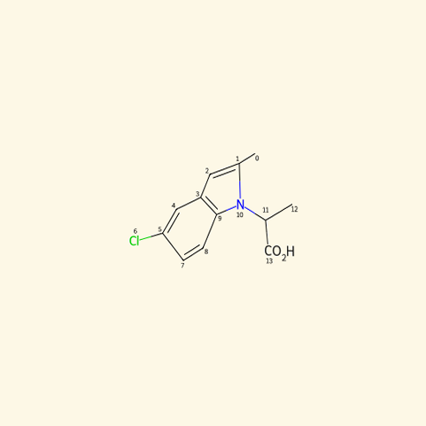 Cc1cc2cc(Cl)ccc2n1C(C)C(=O)O